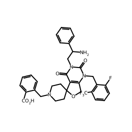 NC(Cn1c(=O)c2c(n(Cc3c(F)cccc3C(F)(F)F)c1=O)COC21CCN(Cc2ccccc2C(=O)O)CC1)c1ccccc1